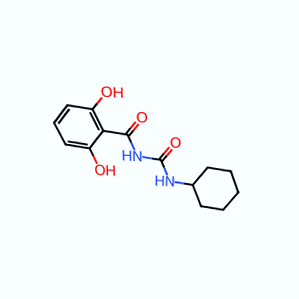 O=C(NC(=O)c1c(O)cccc1O)NC1CCCCC1